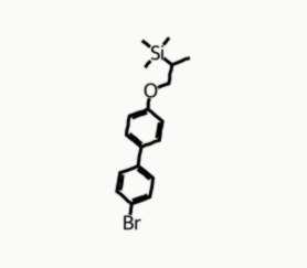 CC(COc1ccc(-c2ccc(Br)cc2)cc1)[Si](C)(C)C